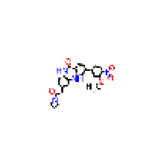 COc1cc(-c2ccc3c(c2)Nc2cc(CC(=O)N4CCC4)ccc2NC3=O)ccc1[N+](=O)[O-]